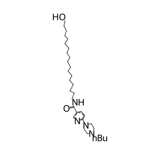 CCCCN1CCN(c2ccc(C(=O)NCCCCCCCCCCCCCCCCCCO)cn2)CC1